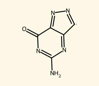 NC1=NC(=O)C2=NN=[C]C2=N1